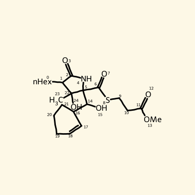 CCCCCCC1C(=O)NC(C(=O)SCCC(=O)OC)(C(O)C2C=CCCC2)C1(C)O